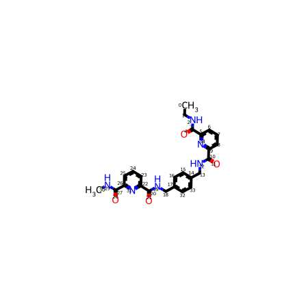 CCNC(=O)c1cccc(C(=O)NCc2ccc(CNC(=O)c3cccc(C(=O)NC)n3)cc2)n1